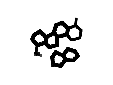 CC1CCCc2c1ccc1c2ccc2c([N+](=O)[O-])cccc21.c1ccc2cnccc2c1